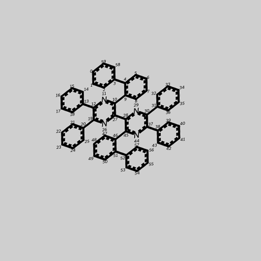 c1ccc(-c2ccccc2-c2nc(-c3ccccc3)c(-c3ccccc3)nc2-c2nc(-c3ccccc3)c(-c3ccccc3)nc2-c2ccccc2-c2ccccc2)cc1